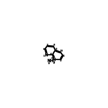 N.c1cnc2ncccc2c1